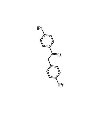 CC(C)c1ccc(CC(=O)c2ccc(C(C)C)cc2)cc1